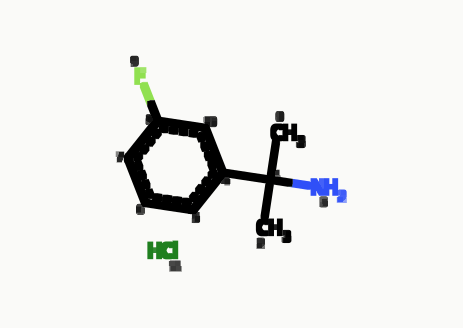 CC(C)(N)c1cccc(F)c1.Cl